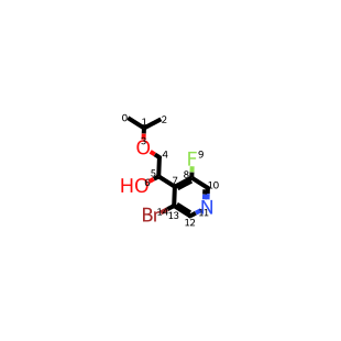 CC(C)OCC(O)c1c(F)cncc1Br